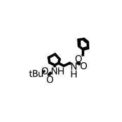 CC(C)(C)OC(=O)NC1CCCCC1CCNC(=O)OCc1ccccc1